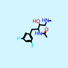 CNCC(O)C(Cc1cc(F)cc(F)c1)NC(C)=O